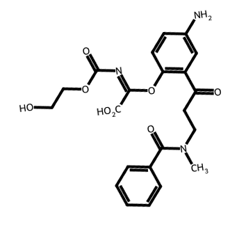 CN(CCC(=O)c1cc(N)ccc1OC(=NC(=O)OCCO)C(=O)O)C(=O)c1ccccc1